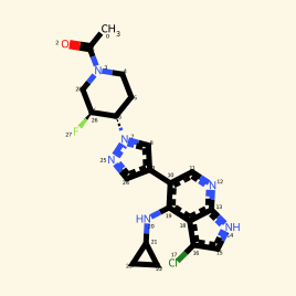 CC(=O)N1CC[C@H](n2cc(-c3cnc4[nH]cc(Cl)c4c3NC3CC3)cn2)[C@@H](F)C1